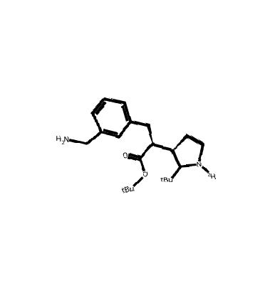 [2H]N1CC[C@H]([C@H](Cc2cccc(CN)c2)C(=O)OC(C)(C)C)C1C(C)(C)C